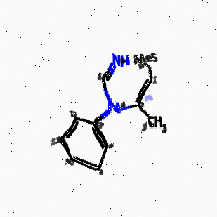 CS/C=C(/C)N(C=N)c1ccccc1